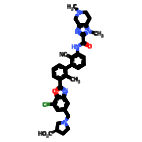 Cc1c(-c2nc3cc(CN4CC[C@@H](C(=O)O)C4)cc(Cl)c3o2)cccc1-c1cccc(NC(=O)c2nc3c(n2C)CCN(C)C3)c1C#N